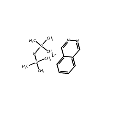 C[Si](C)(C)[N-][Si](C)(C)C.[Li+].c1ccc2cnncc2c1